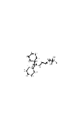 CC(C)(C)N=CCCP(C1CCCCC1)C1CCCCC1